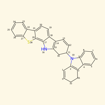 C1=Cc2c(c3ccccc3n2C2C=Cc3c([nH]c4c3ccc3c5ccccc5sc34)C2)CC1